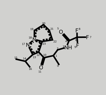 CC(CNC(=O)C(F)(F)F)C(=O)c1c(C(C)C)nn2ccccc12